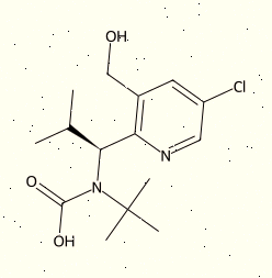 CC(C)[C@@H](c1ncc(Cl)cc1CO)N(C(=O)O)C(C)(C)C